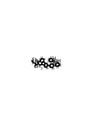 CC/C=C\c1oc2c(cc3c4c(cccc42)-c2cc(-c4cccc([PH](O)(c5ccccc5)c5ccccc5)c4)ccc2-3)c1C